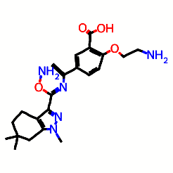 C=C(/N=C(\ON)c1nn(C)c2c1CCC(C)(C)C2)c1ccc(OCCN)c(C(=O)O)c1